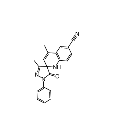 CC1=CC2(Nc3ccc(C#N)cc31)C(=O)N(c1ccccc1)N=C2C